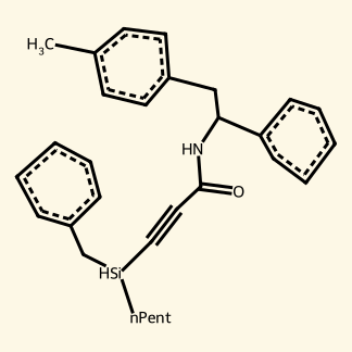 CCCCC[SiH](C#CC(=O)NC(Cc1ccc(C)cc1)c1ccccc1)Cc1ccccc1